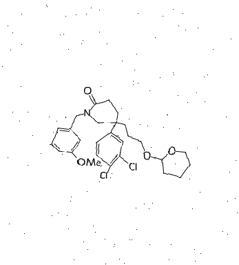 COc1cccc(CN2CC(CCCOC3CCCCO3)(c3ccc(Cl)c(Cl)c3)CCC2=O)c1